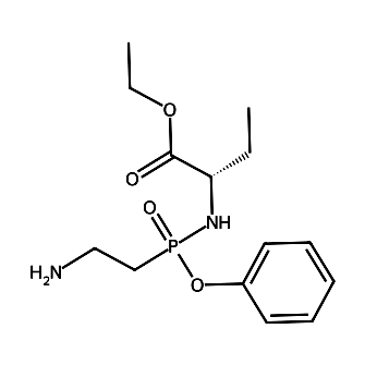 CCOC(=O)[C@H](CC)NP(=O)(CCN)Oc1ccccc1